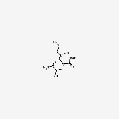 CNC(=O)[C@H](CC(C)C(N)=O)C[C@@H](O)[CH]CC(C)C